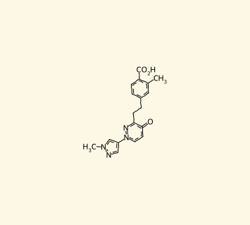 Cc1cc(CCc2nn(-c3cnn(C)c3)ccc2=O)ccc1C(=O)O